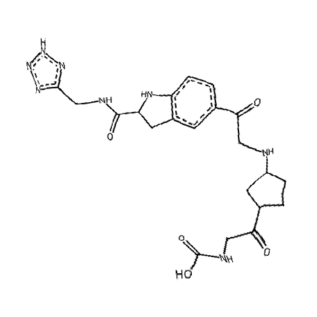 O=C(O)NCC(=O)C1CCC(NCC(=O)c2ccc3c(c2)CC(C(=O)NCc2nn[nH]n2)N3)C1